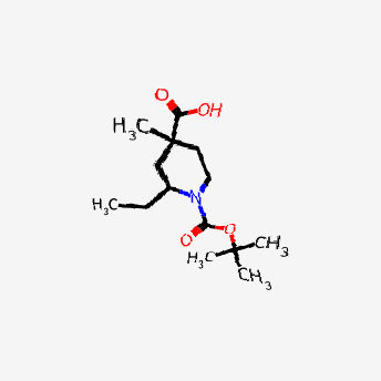 CCC1CC(C)(C(=O)O)CCN1C(=O)OC(C)(C)C